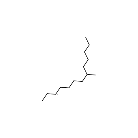 CC[CH]CCCCC(C)CCCCC